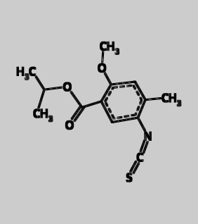 COc1cc(C)c(N=C=S)cc1C(=O)OC(C)C